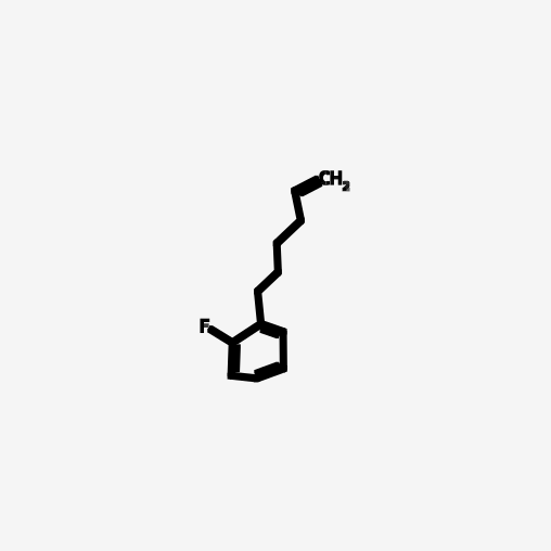 C=CCCCCc1ccccc1F